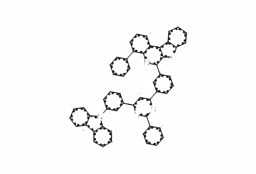 c1ccc(-c2nc(-c3cccc(-c4nc5c(-c6ccccc6)cccc5c5c4oc4ccccc45)c3)cc(-c3cccc(-n4c5ccccc5c5ccccc54)c3)n2)cc1